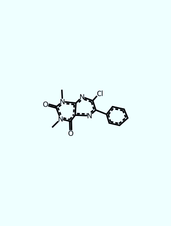 Cn1c(=O)c2nc(-c3ccccc3)c(Cl)nc2n(C)c1=O